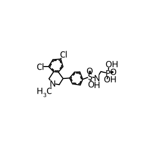 CN1Cc2c(Cl)cc(Cl)cc2C(c2ccc(S(=O)(=O)NCP(=O)(O)O)cc2)C1